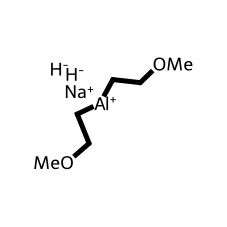 COC[CH2][Al+][CH2]COC.[H-].[H-].[Na+]